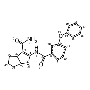 NC(=O)C1=C(NC(=O)c2cccc(Oc3ccccc3)c2)SC2CCCC12